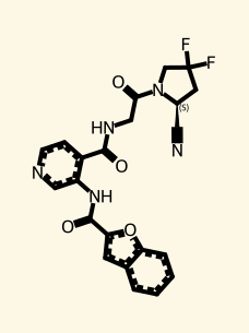 N#C[C@@H]1CC(F)(F)CN1C(=O)CNC(=O)c1ccncc1NC(=O)c1cc2ccccc2o1